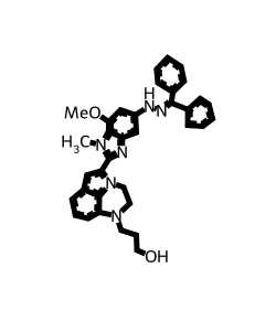 COc1cc(NN=C(c2ccccc2)c2ccccc2)cc2nc(-c3cc4cccc5c4n3CCN5CCCO)n(C)c12